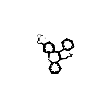 COc1ccc2c(c1)Sc1ccccc1C(CBr)=C2c1ccccc1